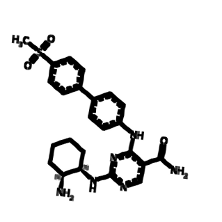 CS(=O)(=O)c1ccc(-c2ccc(Nc3nc(N[C@@H]4CCCC[C@@H]4N)ncc3C(N)=O)cc2)cc1